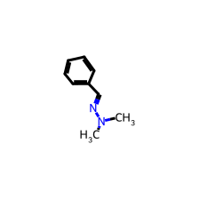 CN(C)/N=C/c1ccccc1